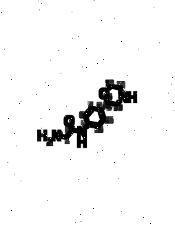 NCC(=O)Nc1ccc([C@H]2CNCCO2)cc1